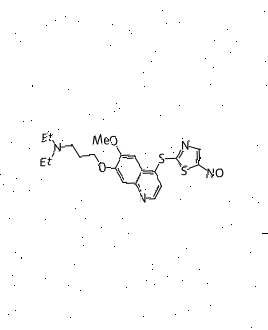 CCN(CC)CCCOc1cc2nccc(Sc3ncc(N=O)s3)c2cc1OC